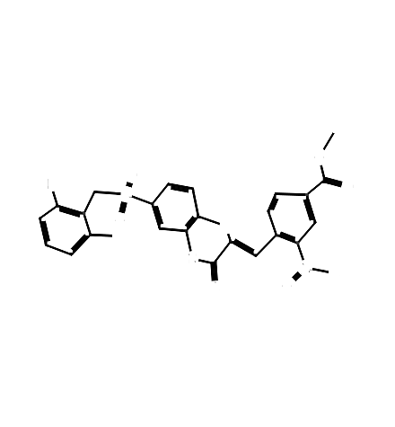 COC(=O)c1ccc(C=C2Sc3ccc(S(=O)(=O)Cc4c(F)cccc4F)cc3NC2=O)c([N+](=O)[O-])c1